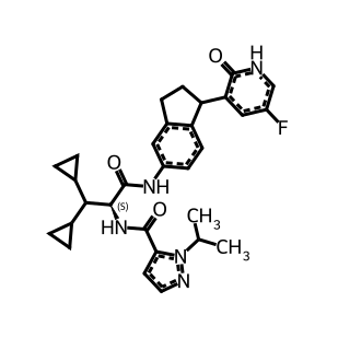 CC(C)n1nccc1C(=O)N[C@H](C(=O)Nc1ccc2c(c1)CCC2c1cc(F)c[nH]c1=O)C(C1CC1)C1CC1